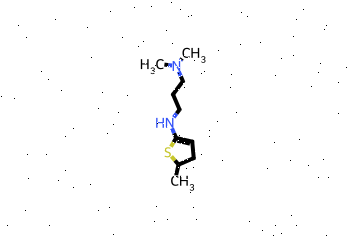 CC1CC=C(NCCCN(C)C)S1